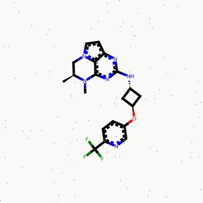 C[C@H]1Cn2ccc3nc(N[C@H]4C[C@H](Oc5ccc(C(F)(F)F)nc5)C4)nc(c32)N1C